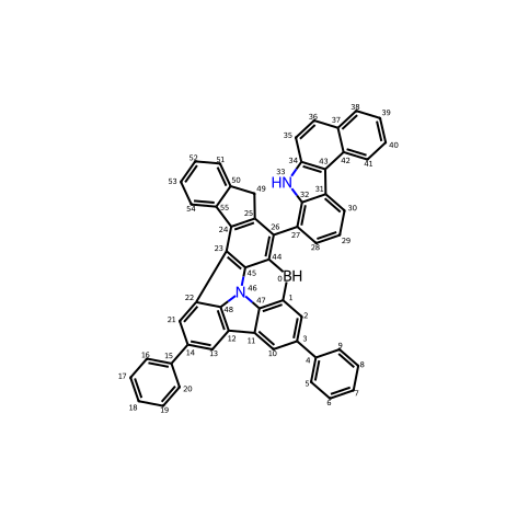 B1c2cc(-c3ccccc3)cc3c4cc(-c5ccccc5)cc5c6c7c(c(-c8cccc9c8[nH]c8ccc%10ccccc%10c89)c1c6n(c23)c45)Cc1ccccc1-7